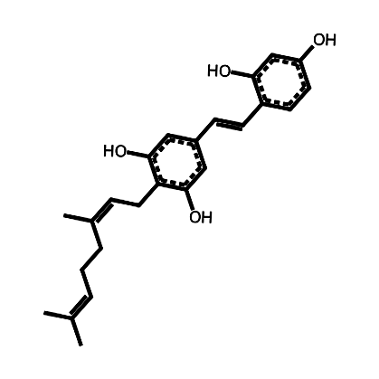 CC(C)=CCCC(C)=CCc1c(O)cc(C=Cc2ccc(O)cc2O)cc1O